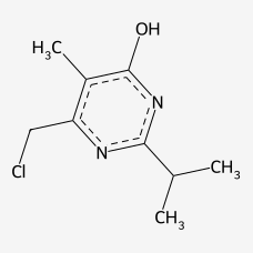 Cc1c(O)nc(C(C)C)nc1CCl